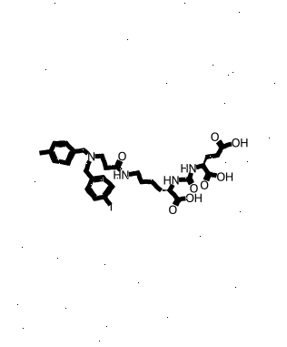 Cc1ccc(CN(CCC(=O)NCCCC[C@H](NC(=O)N[C@@H](CCC(=O)O)C(=O)O)C(=O)O)Cc2ccc(I)cc2)cc1